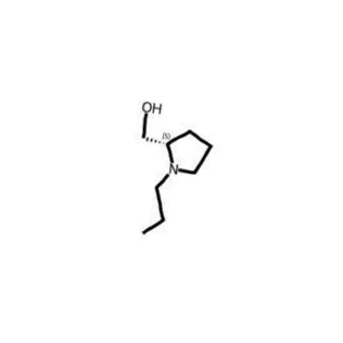 CCCN1CCC[C@H]1CO